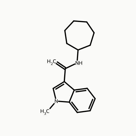 C=C(NC1CCCCCC1)c1cn(C)c2ccccc12